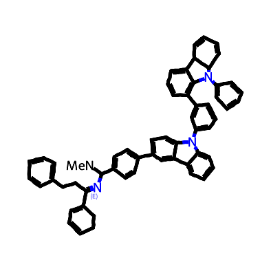 CNC(/N=C(\CCc1ccccc1)C1=CC=CCC1)c1ccc(-c2ccc3c(c2)c2ccccc2n3-c2cccc(-c3cccc4c3N(c3ccccc3)C3C=CC=CC43)c2)cc1